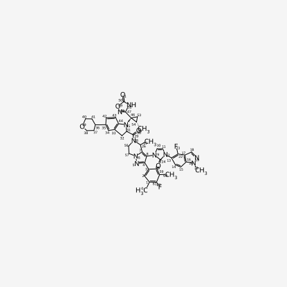 Cc1cc(-c2nn3c(c2-n2ccn(-c4ccc5c(cnn5C)c4F)c2=O)C(C)N(C(=O)C2Cc4cc(C5CCOCC5)ccc4N2[C@@]2(c4noc(=O)[nH]4)C[C@@H]2C)CC3)cc(C)c1F